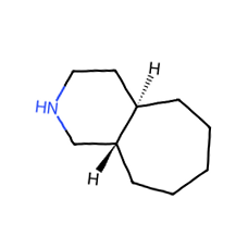 C1CC[C@@H]2CCNC[C@H]2CC1